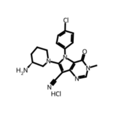 Cl.Cn1cnc2c(C#N)c(N3CCC[C@H](N)C3)n(-c3ccc(Cl)cc3)c2c1=O